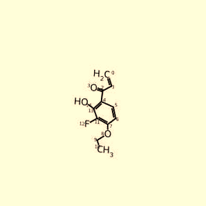 C=CC(=O)c1ccc(OCC)c(F)c1O